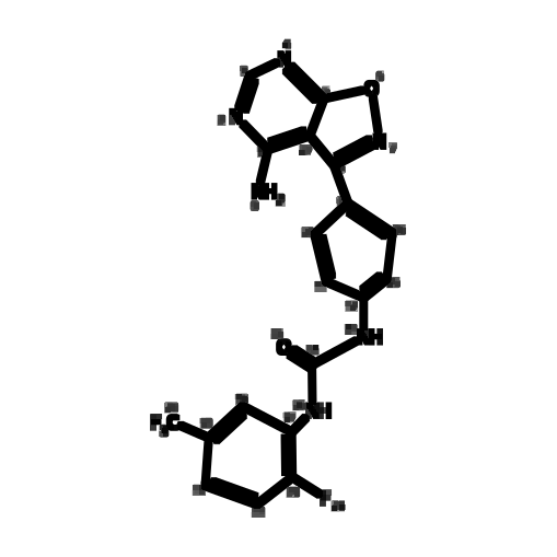 Nc1ncnc2onc(-c3ccc(NC(=O)Nc4cc(C(F)(F)F)ccc4F)cc3)c12